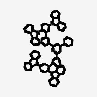 C1=CC2c3ccccc3N(c3ccc(-n4c5ccccc5c5ccccc54)cc3-c3cccc(-c4cc(-c5ccccc5)cc(-c5cccc(-c6cc(-n7c8ccccc8c8ccccc87)ccc6-n6c7ccccc7c7ccccc76)c5)n4)c3)C2C=C1